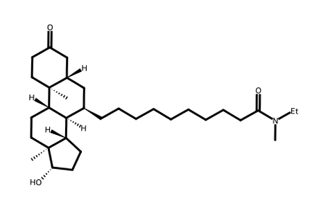 CCN(C)C(=O)CCCCCCCCC[C@@H]1C[C@H]2CC(=O)CC[C@]2(C)[C@H]2CC[C@]3(C)[C@@H](O)CC[C@H]3[C@H]12